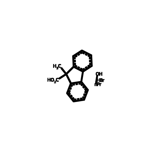 Br.CC1(C(=O)O)c2ccccc2-c2ccccc21.CCCO